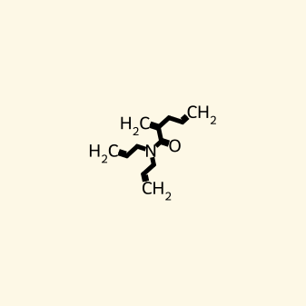 C=CCC(=C)C(=O)N(CC=C)CC=C